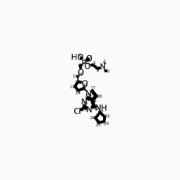 CN(C)CCOP(=O)(O)COC[C@@H]1CC[C@H](n2ccc3c(NC4CCCC4)nc(Cl)nc32)O1